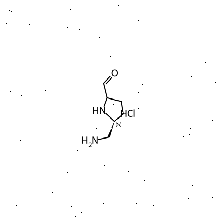 Cl.NC[C@@H]1CCC(C=O)N1